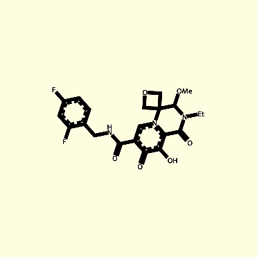 CCN1C(=O)c2c(O)c(=O)c(C(=O)NCc3ccc(F)cc3F)cn2C2(COC2)C1OC